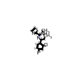 CCC(/N=C(\NC)c1nccs1)c1ccc(F)cc1Cl